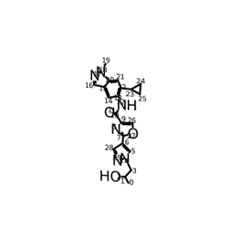 CC(O)Cn1cc(-c2nc(C(=O)Nc3cc4cnn(C)c4cc3C3CC3)co2)cn1